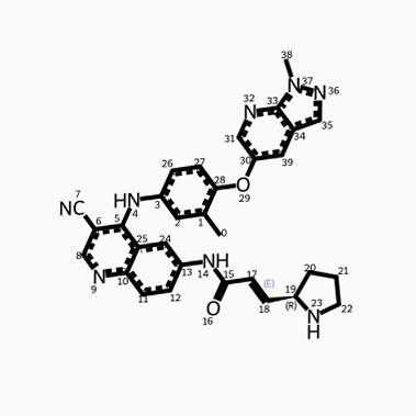 Cc1cc(Nc2c(C#N)cnc3ccc(NC(=O)/C=C/[C@H]4CCCN4)cc23)ccc1Oc1cnc2c(cnn2C)c1